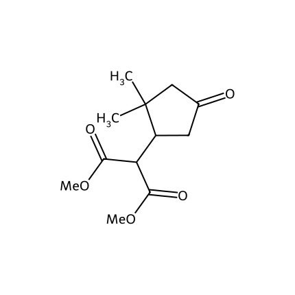 COC(=O)C(C(=O)OC)C1CC(=O)CC1(C)C